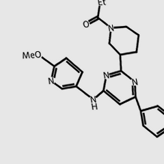 CCC(=O)N1CCCC(c2nc(Nc3ccc(OC)nc3)cc(-c3cccnc3)n2)C1